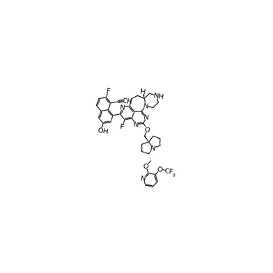 C#Cc1c(F)ccc2cc(O)cc(-c3nc4c5c(nc(OC[C@@]67CCCN6[C@H](COc6ncccc6OC(F)(F)F)CC7)nc5c3F)N3CCNC[C@H]3CC4)c12